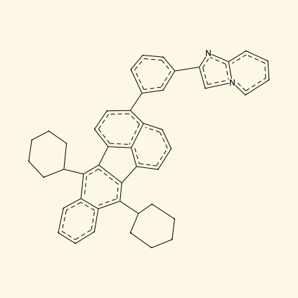 c1cc(-c2cn3ccccc3n2)cc(-c2ccc3c4c(cccc24)-c2c-3c(C3CCCCC3)c3ccccc3c2C2CCCCC2)c1